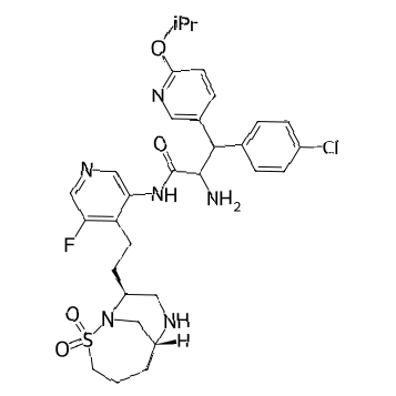 CC(C)Oc1ccc(C(c2ccc(Cl)cc2)C(N)C(=O)Nc2cncc(F)c2CC[C@H]2CN[C@@H]3CCCS(=O)(=O)N2C3)cn1